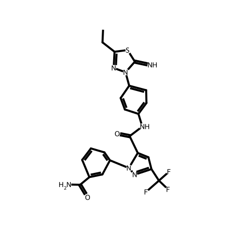 CCc1nn(-c2ccc(NC(=O)c3cc(C(F)(F)F)nn3-c3cccc(C(N)=O)c3)cc2)c(=N)s1